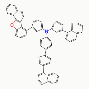 c1cc(-c2cccc3ccccc23)cc(N(c2ccc(-c3ccc(-c4cccc5ccccc45)cc3)cc2)c2cccc(-c3cccc4oc5c6ccccc6ccc5c34)c2)c1